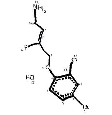 CC(C)(C)c1ccc(OC/C(F)=C/CN)c(Cl)c1.Cl